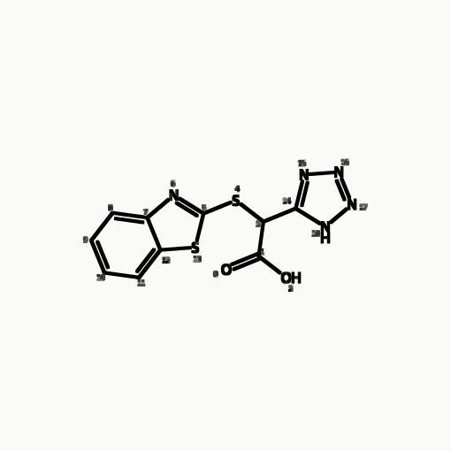 O=C(O)C(Sc1nc2ccccc2s1)c1nnn[nH]1